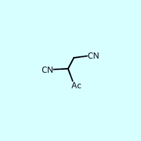 [C-]#[N+]C(CC#N)C(C)=O